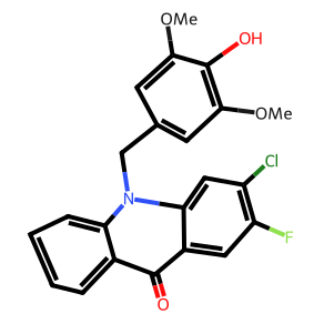 COc1cc(Cn2c3ccccc3c(=O)c3cc(F)c(Cl)cc32)cc(OC)c1O